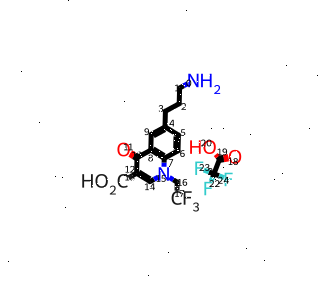 NCCCc1ccc2c(c1)c(=O)c(C(=O)O)cn2CC(F)(F)F.O=C(O)C(F)(F)F